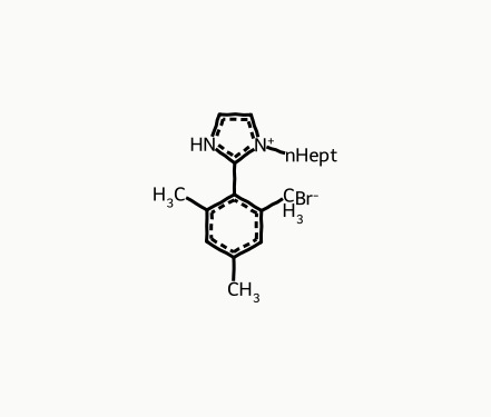 CCCCCCC[n+]1cc[nH]c1-c1c(C)cc(C)cc1C.[Br-]